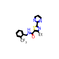 CCc1nc(-c2ncccn2)sc1C(=O)NCc1ccccc1C(F)(F)F